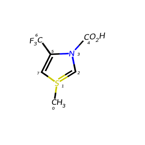 CS1=CN(C(=O)O)C(C(F)(F)F)=C1